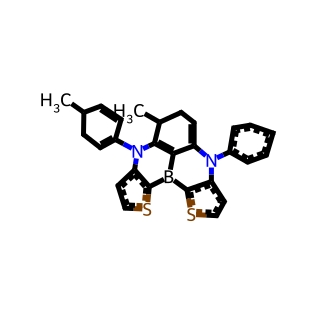 CC1C=CC(N2C3=C4B(c5sccc52)c2sccc2N(c2ccccc2)C4=CCC3C)=CC1